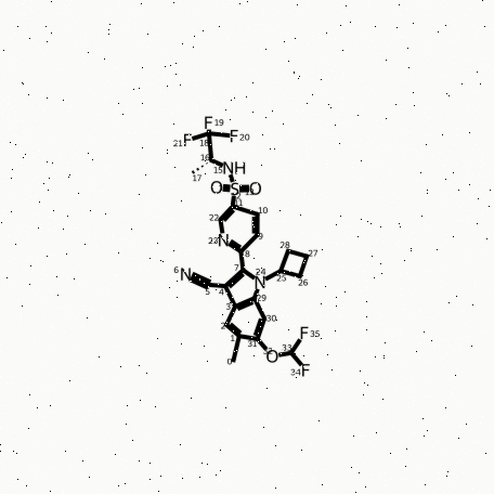 Cc1cc2c(C#N)c(-c3ccc(S(=O)(=O)N[C@H](C)C(F)(F)F)cn3)n(C3CCC3)c2cc1OC(F)F